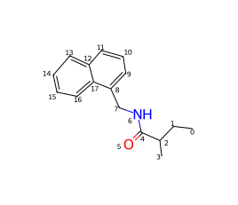 CCC(C)C(=O)NCc1cccc2ccccc12